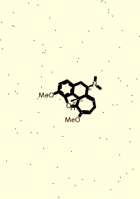 COC1=CCC=C2[C@H](N(C)C)Cc3ccc(OC)c4c3[C@@]2(C)[C@H]1O4